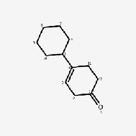 O=C1CC=C(C2CCCCC2)CC1